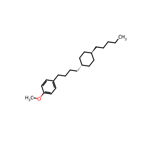 CCCCC[C@H]1CC[C@H](CCCCc2ccc(OC)cc2)CC1